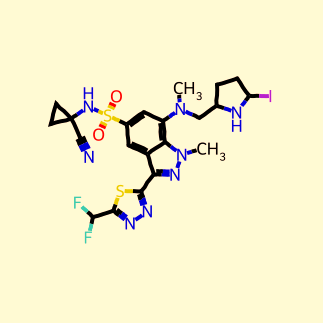 CN(CC1CCC(I)N1)c1cc(S(=O)(=O)NC2(C#N)CC2)cc2c(-c3nnc(C(F)F)s3)nn(C)c12